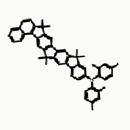 Cc1ccc(N(c2ccc3c(c2)C(C)(C)c2cc4c(cc2-3)C(C)(C)c2cc3c(cc2-4)C(C)(C)c2ccc4ccccc4c2-3)c2ccc(C)cc2C)c(C)c1